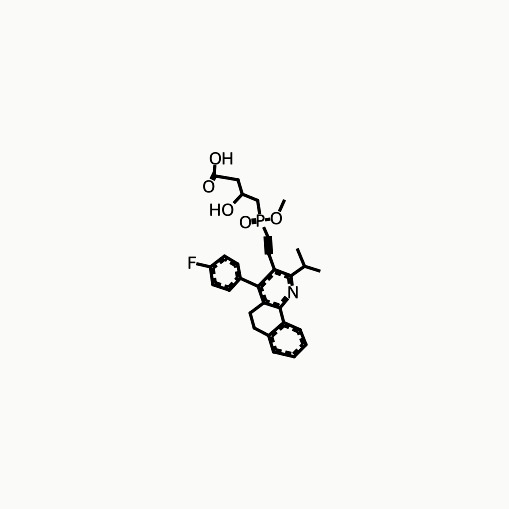 COP(=O)(C#Cc1c(C(C)C)nc2c(c1-c1ccc(F)cc1)CCc1ccccc1-2)CC(O)CC(=O)O